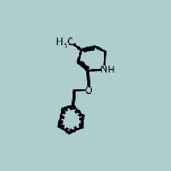 CC1=CCNC(OCc2ccccc2)=C1